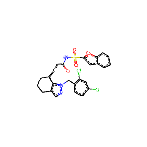 O=C(C=C=C1CCCc2cnn(Cc3ccc(Cl)cc3Cl)c21)NS(=O)(=O)c1cc2ccccc2o1